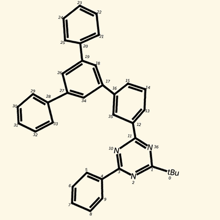 CC(C)(C)c1nc(-c2ccccc2)nc(-c2cccc(-c3cc(-c4ccccc4)cc(-c4ccccc4)c3)c2)n1